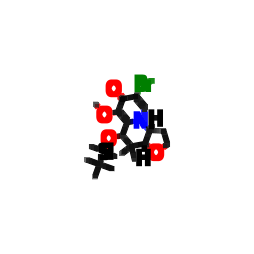 COc1c2n(cc(Br)c1=O)[C@@H]1CCO[C@@H]1C(C)(C)C2O[Si](C)(C)C(C)(C)C